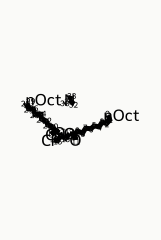 CCCCCCCC/C=C\CCCCCCCC(=O)OCC(CCl)OC(=O)CCCCCCC/C=C\CCCCCCCC.CN(C)C